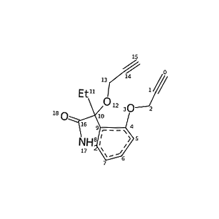 C#CCOc1ccccc1C(CC)(OCC#C)C(N)=O